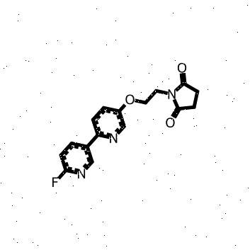 O=C1CCC(=O)N1CCOc1ccc(-c2ccc(F)nc2)nc1